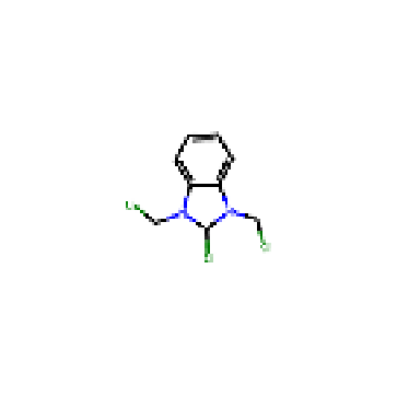 ClCN1[C](Cl)N(CCl)c2ccccc21